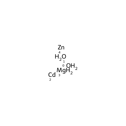 O.O.[Cd].[MgH2].[Zn]